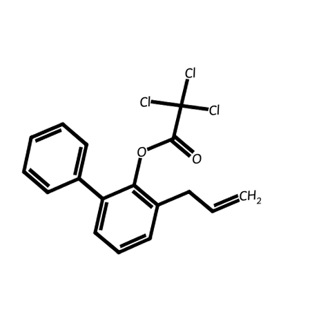 C=CCc1cccc(-c2ccccc2)c1OC(=O)C(Cl)(Cl)Cl